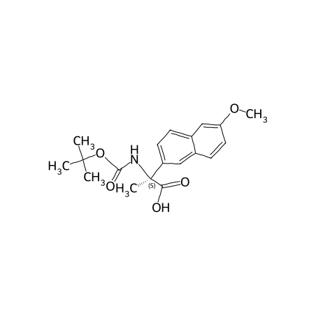 COc1ccc2cc([C@](C)(NC(=O)OC(C)(C)C)C(=O)O)ccc2c1